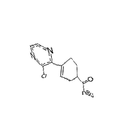 CCCCC(=O)C1CC=C(c2nccnc2Cl)CC1